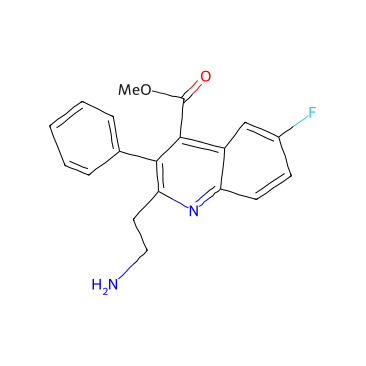 COC(=O)c1c(-c2ccccc2)c(CCN)nc2ccc(F)cc12